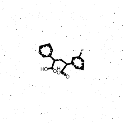 O=C(O)C(CC(C(=O)O)c1cccc(F)c1)c1ccccc1